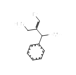 COC(/C(=C/F)CN)c1ccccc1